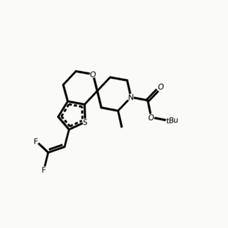 CC1CC2(CCN1C(=O)OC(C)(C)C)OCCc1cc(C=C(F)F)sc12